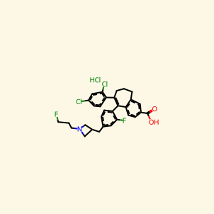 Cl.O=C(O)c1ccc2c(c1)CCCC(c1ccc(Cl)cc1Cl)=C2c1ccc(CC2CN(CCCF)C2)cc1F